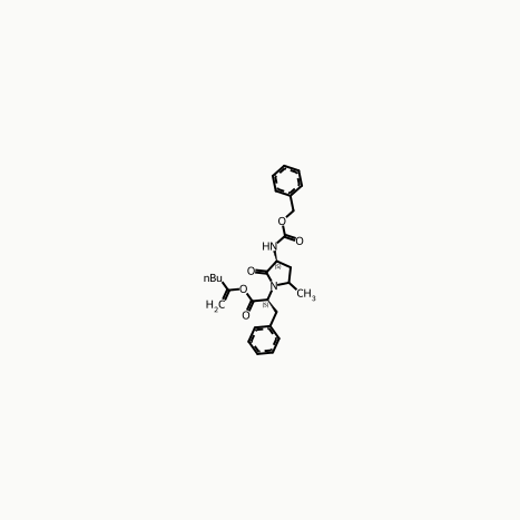 C=C(CCCC)OC(=O)[C@H](Cc1ccccc1)N1C(=O)[C@@H](NC(=O)OCc2ccccc2)CC1C